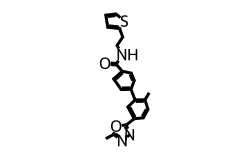 Cc1nnc(-c2ccc(C)c(-c3ccc(C(=O)NCCc4cccs4)cc3)c2)o1